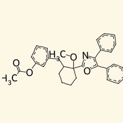 COC1(c2nc(-c3ccccc3)c(-c3ccccc3)o2)CCCCC1Cc1cccc(OC(C)=O)c1